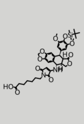 COc1cc([C@@H]2c3cc4c(cc3[C@@H](NC3=CC(=O)N(CCCCCCC(=O)O)C3=O)[C@H]3COC(=O)[C@H]23)OCO4)cc(OC)c1O[Si](C)(C)C(C)(C)C